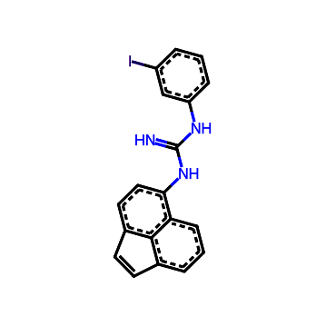 N=C(Nc1cccc(I)c1)Nc1ccc2c3c(cccc13)C=C2